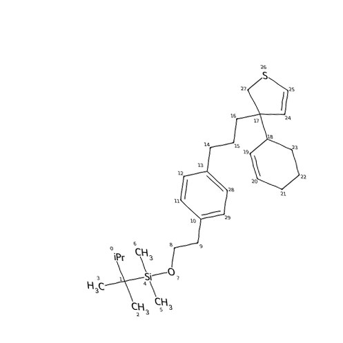 CC(C)C(C)(C)[Si](C)(C)OCCc1ccc(CCCC2(C3C=CCCC3)C=CSC2)cc1